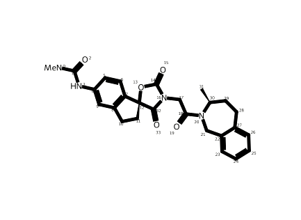 CNC(=O)Nc1ccc2c(c1)CC[C@]21OC(=O)N(CC(=O)N2Cc3ccccc3CC[C@@H]2C)C1=O